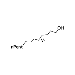 CCCCCCCCCCCCCO.[V]